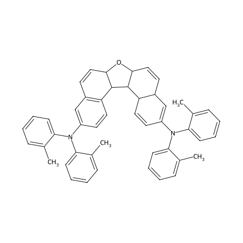 Cc1ccccc1N(C1=CC2C=CC3OC4C=Cc5cc(N(c6ccccc6C)c6ccccc6C)ccc5C4C3C2C=C1)c1ccccc1C